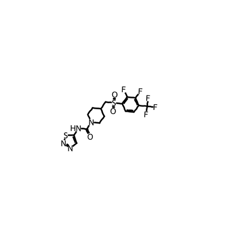 O=C(Nc1cnns1)N1CCC(CS(=O)(=O)c2ccc(C(F)(F)F)c(F)c2F)CC1